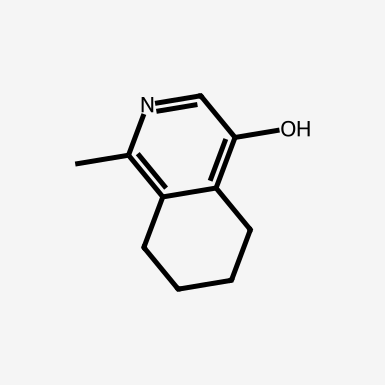 Cc1ncc(O)c2c1CCCC2